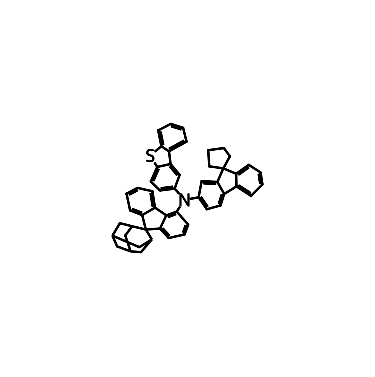 c1ccc2c(c1)-c1ccc(N(c3ccc4sc5ccccc5c4c3)c3cccc4c3-c3ccccc3C43C4CC5CC(C4)CC3C5)cc1C21CCCC1